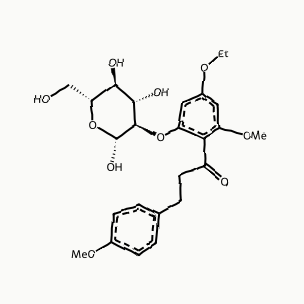 CCOc1cc(OC)c(C(=O)CCc2ccc(OC)cc2)c(O[C@@H]2[C@@H](O)[C@H](O)[C@@H](CO)O[C@H]2O)c1